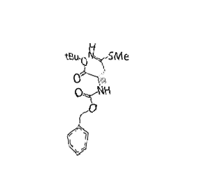 CSC(=N)C[C@H](NC(=O)OCc1ccccc1)C(=O)OC(C)(C)C